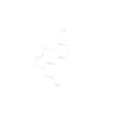 COc1cccc(-c2cc(N)nc3onc(N)c23)c1